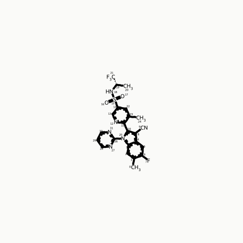 Cc1cc2c(cc1F)c(C#N)c(-c1ncc(S(=O)(=O)N[C@@H](C)C(F)(F)F)cc1C)n2-c1ncccn1